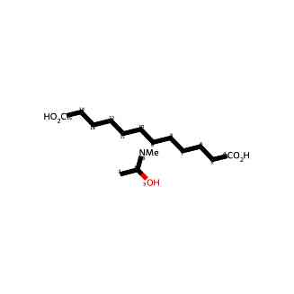 CNC(C)O.O=C(O)CCCCCCCCCCC(=O)O